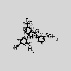 CSc1cccc(NC(=O)c2cc(C(F)(F)F)nnc2Oc2ccc(C#N)cc2C)c1